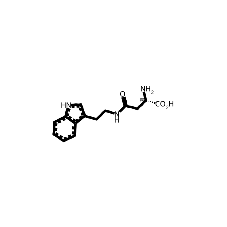 N[C@@H](CC(=O)NCCc1c[nH]c2ccccc12)C(=O)O